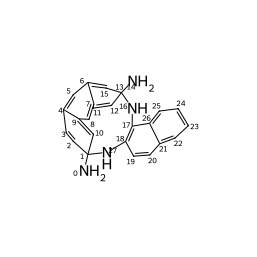 NC12C=Cc3cc4c(cc3=C1)C=CC(N)(C=4)Nc1c(ccc3ccccc13)N2